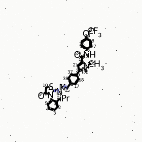 CC(C)c1ccccc1N1C(=O)CS/C1=N\N=C\c1ccc(-c2cc(C(=O)Nc3ccc(OC(F)(F)F)cc3)n(C)n2)cc1